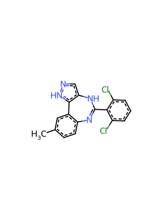 Cc1ccc2c(c1)-c1[nH]ncc1NC(c1c(Cl)cccc1Cl)=N2